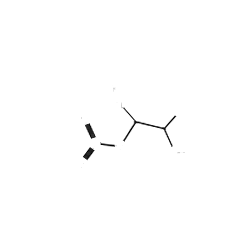 CC(O)C(Cl)O[S-](=O)=O.[K+]